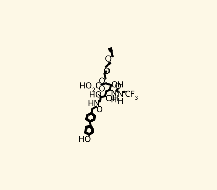 C#CCOCCOCCO[C@]1(C(=O)O)C[C@H](O)[C@@H](NC(=O)NCC(F)(F)F)[C@H]([C@H](O)[C@H](O)CNC(=O)Cc2ccc(-c3ccc(O)cc3)cc2)O1